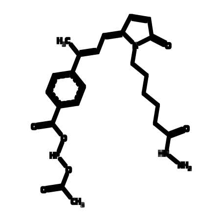 CC(=O)OPOC(=O)c1ccc(/C(C)=C/C=C2/C=CC(=O)N2CCCCCC(=O)NN)cc1